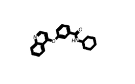 O=C(NC1CCCCC1)c1cccc(Oc2ccnc3ccccc23)c1